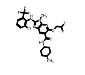 Cn1c(Nc2c(Cl)cccc2C(F)(F)F)nc2cc(C(=O)N[C@H]3CC[C@H](C)CC3)c(OCC(F)F)nc21